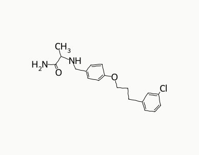 CC(NCc1ccc(OCCCc2cccc(Cl)c2)cc1)C(N)=O